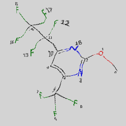 COc1nc(C(F)(F)F)cc(C(F)(F)C(F)(F)F)n1